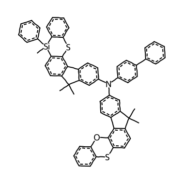 CC1(C)c2cc(N(c3ccc(-c4ccccc4)cc3)c3ccc4c(c3)C(C)(C)c3ccc5c(c3-4)Sc3ccccc3[Si]5(C)c3ccccc3)ccc2-c2c1ccc1c2Oc2ccccc2S1